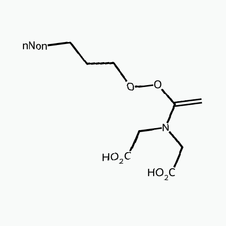 C=C(OOCCCCCCCCCCCC)N(CC(=O)O)CC(=O)O